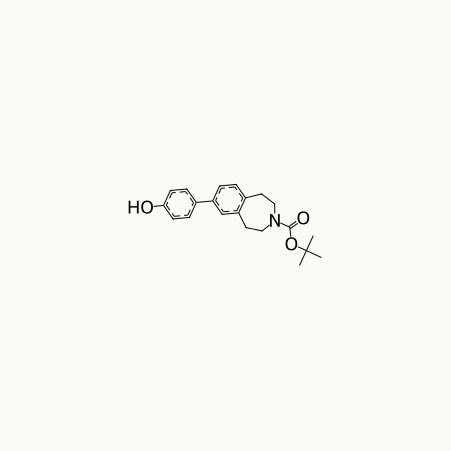 CC(C)(C)OC(=O)N1CCc2ccc(-c3ccc(O)cc3)cc2CC1